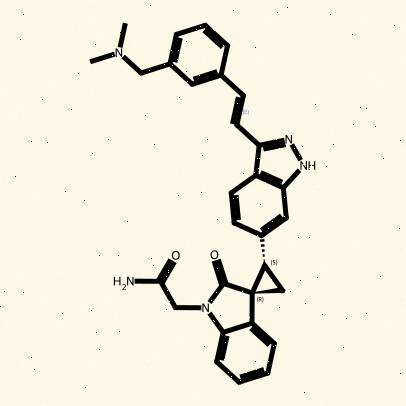 CN(C)Cc1cccc(/C=C/c2n[nH]c3cc([C@@H]4C[C@@]45C(=O)N(CC(N)=O)c4ccccc45)ccc23)c1